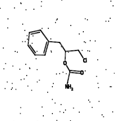 NC(=O)OC(CCl)Cc1ccccc1